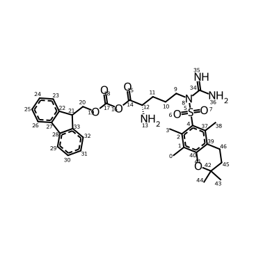 Cc1c(C)c(S(=O)(=O)N(CCC[C@H](N)C(=O)OC(=O)OCC2c3ccccc3-c3ccccc32)C(=N)N)c(C)c2c1OC(C)(C)CC2